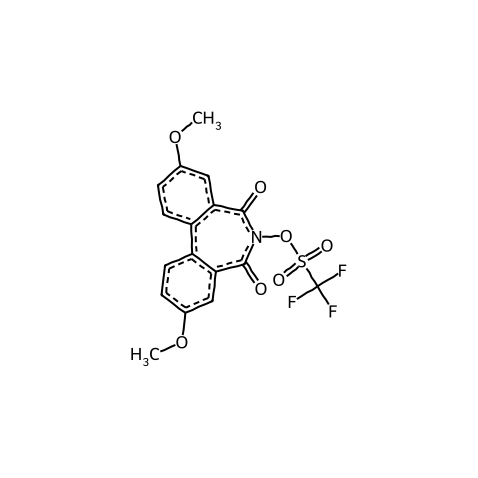 COc1ccc2c(c1)c(=O)n(OS(=O)(=O)C(F)(F)F)c(=O)c1cc(OC)ccc12